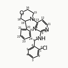 Clc1ccccc1CNc1nccc(N2CCOCC2c2ccccc2)n1